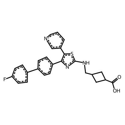 O=C(O)C1CC(CNc2nc(-c3ccc(-c4ccc(F)cc4)cc3)c(-c3cccnc3)s2)C1